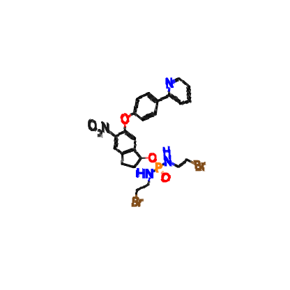 O=[N+]([O-])c1cc2c(cc1Oc1ccc(-c3ccccn3)cc1)C(OP(=O)(NCCBr)NCCBr)CC2